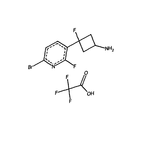 NC1CC(F)(c2ccc(Br)nc2F)C1.O=C(O)C(F)(F)F